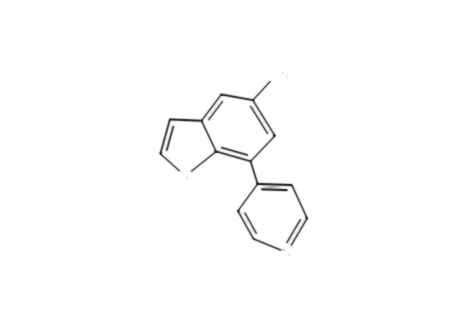 N#Cc1cc(-c2ccncc2)c2[nH]ccc2c1